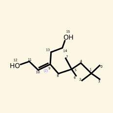 CC(C)(C)CC(C)(C)C/C(=C/CO)CCO